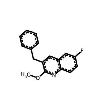 COc1nc2ccc(F)cc2cc1Cc1ccccc1